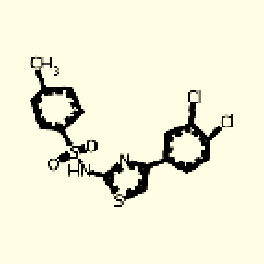 Cc1ccc(S(=O)(=O)Nc2nc(-c3ccc(Cl)c(Cl)c3)cs2)cc1